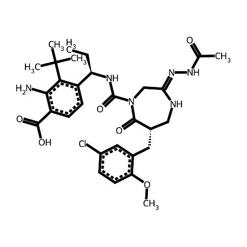 CC[C@@H](NC(=O)N1CC(=NNC(C)=O)NC[C@H](Cc2cc(Cl)ccc2OC)C1=O)c1ccc(C(=O)O)c(N)c1C(C)(C)C